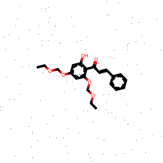 CCOCOc1cc(O)c(C(=O)/C=C/c2ccccc2)c(OCOCC)c1